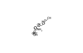 C#CCOc1ccc(Cc2cc(-c3ccc[n+](COP(=O)([O-])O)c3N)on2)cn1